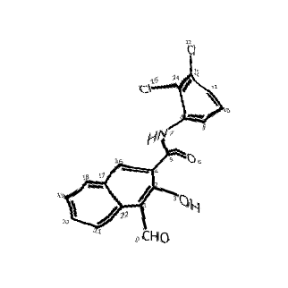 O=Cc1c(O)c(C(=O)Nc2cccc(Cl)c2Cl)cc2ccccc12